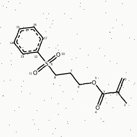 C=C(C)C(=O)OCCCS(=O)(=O)c1ccccc1